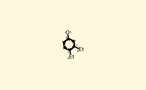 CCc1ccc([O])cc1CC